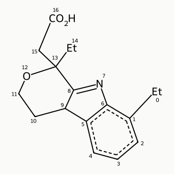 CCc1cccc2c1N=C1C2CCOC1(CC)CC(=O)O